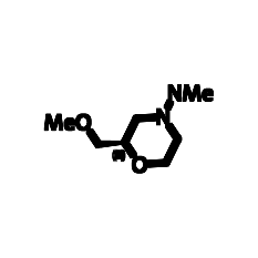 CNN1CCO[C@@H](COC)C1